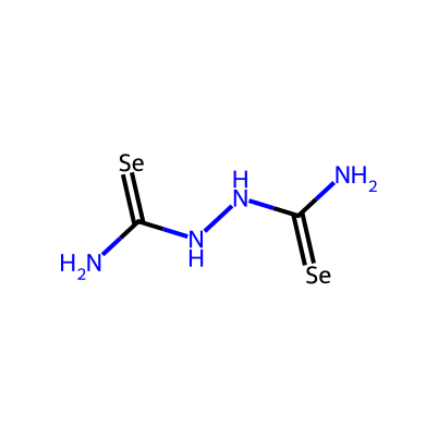 NC(=[Se])NNC(N)=[Se]